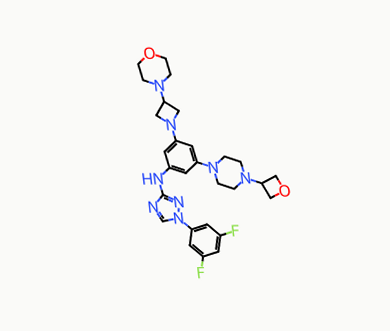 Fc1cc(F)cc(-n2cnc(Nc3cc(N4CCN(C5COC5)CC4)cc(N4CC(N5CCOCC5)C4)c3)n2)c1